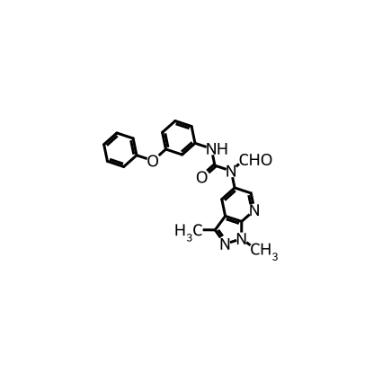 Cc1nn(C)c2ncc(N(C=O)C(=O)Nc3cccc(Oc4ccccc4)c3)cc12